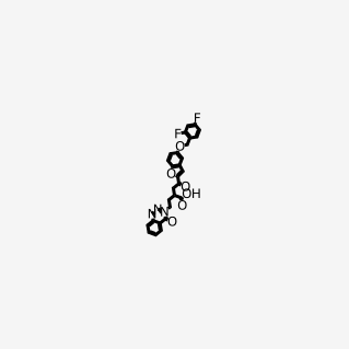 O=C(CC(CCn1nnc2ccccc2c1=O)C(=O)O)c1cc2cc(OCc3ccc(F)cc3F)ccc2o1